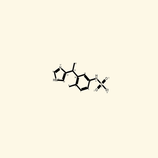 CCS(=O)(=O)Nc1ccc(C)c(C(C)c2c[nH]cn2)c1